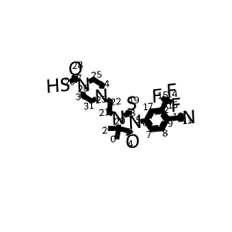 CC1(C)C(=O)N(c2ccc(C#N)c(C(F)(F)F)c2)C(=S)N1CCN1CCN(C(=O)S)CC1